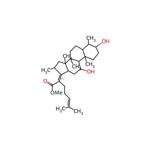 COC(=O)/C(CCC=C(C)C)=C1\C(C)CC2(C)C1CC(O)C1C3(C)CCC(O)C(C)C3CCC12C